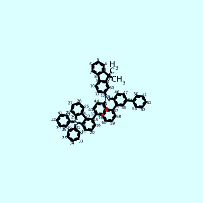 CC1(C)c2ccccc2-c2ccc(N(c3ccc(-c4cccc5c4-c4ccccc4S5(c4ccccc4)c4ccccc4)cc3)c3ccc(-c4ccccc4)cc3-c3ccccc3)cc21